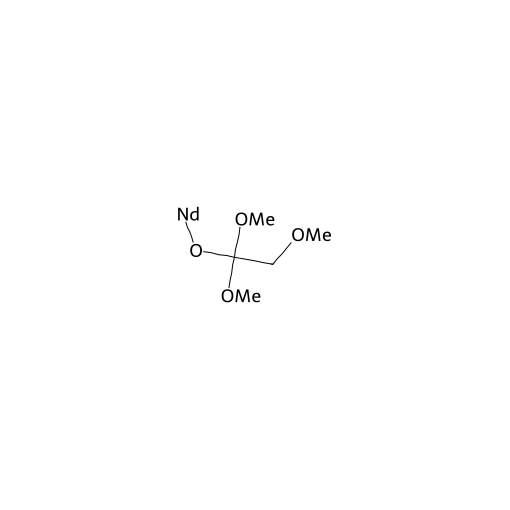 COCC(OC)(OC)[O][Nd]